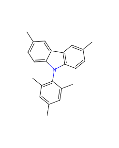 Cc1cc(C)c(-n2c3ccc(C)cc3c3cc(C)ccc32)c(C)c1